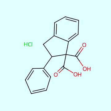 Cl.O=C(O)C1(C(=O)O)c2ccccc2CC1c1ccccc1